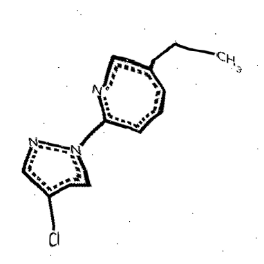 C[CH]c1ccc(-n2cc(Cl)cn2)nc1